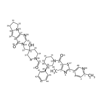 Cc1ccc(-c2nc(C)c(C(=O)N3CC[C@@H](C(=O)N4CCC(O)(Cn5cnc6c(cc7n6CCC7)c5=O)CC4)[C@H](c4ccccc4)C3)s2)cn1